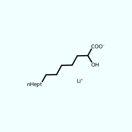 CCCCCCCCCCCCC(O)C(=O)[O-].[Li+]